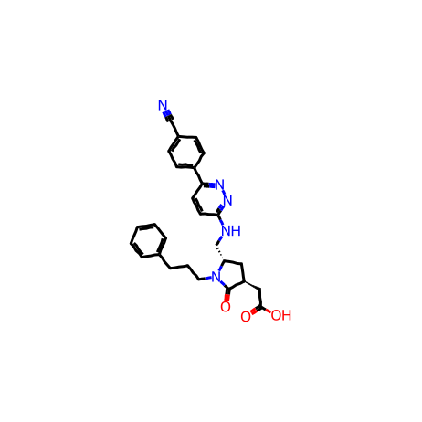 N#Cc1ccc(-c2ccc(NC[C@@H]3C[C@@H](CC(=O)O)C(=O)N3CCCc3ccccc3)nn2)cc1